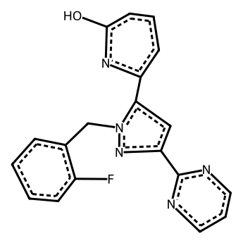 Oc1cccc(-c2cc(-c3ncccn3)nn2Cc2ccccc2F)n1